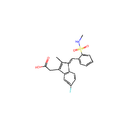 CNS(=O)(=O)c1ccccc1C=C1C(C)=C(CC(=O)O)c2cc(F)ccc21